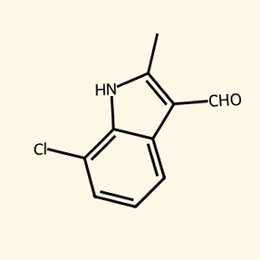 Cc1[nH]c2c(Cl)cccc2c1C=O